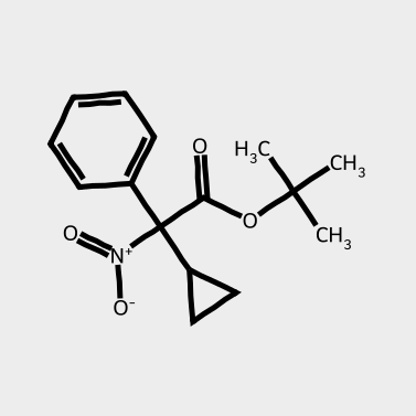 CC(C)(C)OC(=O)C(c1ccccc1)(C1CC1)[N+](=O)[O-]